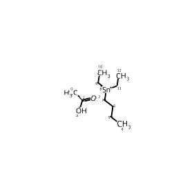 CC(=O)O.CCC[CH2][Sn]([CH2]C)[CH2]C